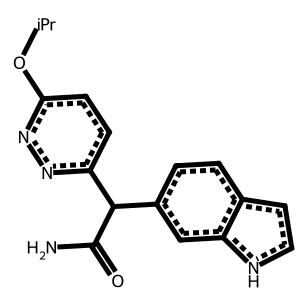 CC(C)Oc1ccc(C(C(N)=O)c2ccc3cc[nH]c3c2)nn1